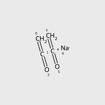 C=C=O.C=C=O.[Na]